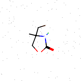 CC1(CBr)COC(=O)N1Cl